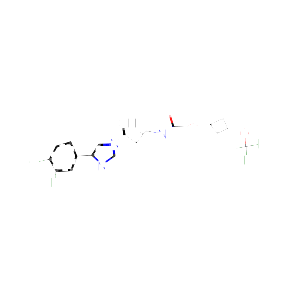 C=C(CCNC(=O)CO[C@H]1C[C@@H](OC(F)(F)F)C1)n1cnc(-c2ccc(Cl)c(F)c2)c1